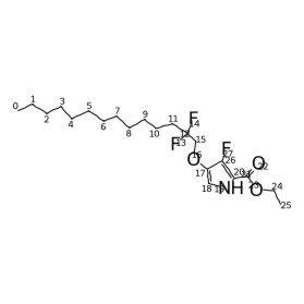 CCCCCCCCCCCCC(F)(F)COc1c[nH]c(C(=O)OCC)c1F